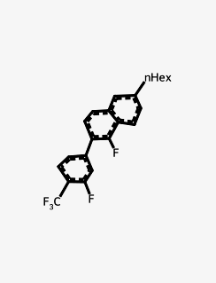 CCCCCCc1ccc2c(F)c(-c3ccc(C(F)(F)F)c(F)c3)ccc2c1